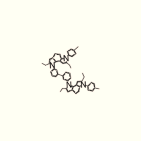 CCc1cc2c(ccc3cc(CC)n(-c4cccc(-c5cccc(-n6c(CC)cc7ccc8c(cc(CC)n8-c8ccc(C)cc8)c76)c5)c4)c32)n1-c1ccc(C)cc1